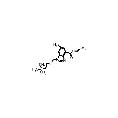 Bc1cc(C(=O)OCC)c2ncn(COCC[Si](C)(C)C)c2c1